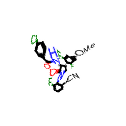 COc1cc(F)c([C@@H]2CN(c3c(F)cccc3C#N)C(=O)[C@H]2NC(=O)c2ccc(Cl)cc2)c(F)c1